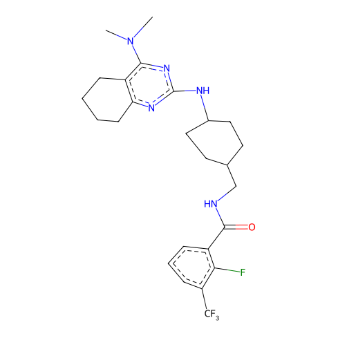 CN(C)c1nc(NC2CCC(CNC(=O)c3cccc(C(F)(F)F)c3F)CC2)nc2c1CCCC2